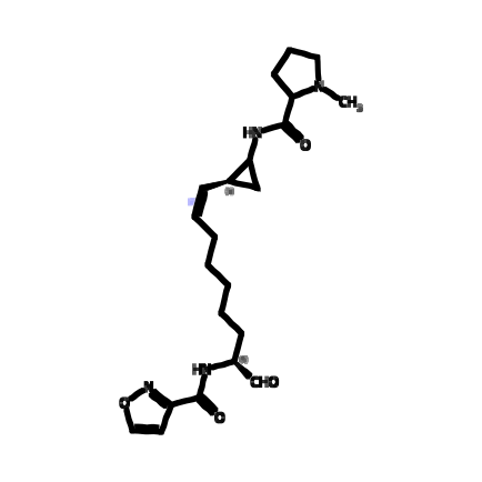 CN1CCCC1C(=O)NC1C[C@H]1/C=C\CCCCC[C@@H](C=O)NC(=O)c1ccon1